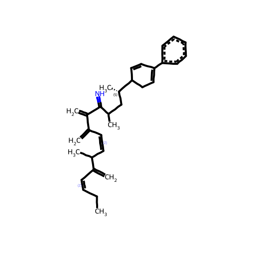 C=C(/C=C\C(C)C(=C)/C=C\CC)C(=C)C(=N)C(C)C[C@H](C)C1C=CC(c2ccccc2)=CC1